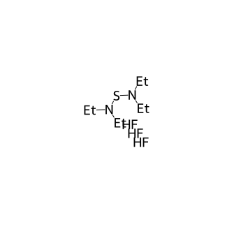 CCN(CC)SN(CC)CC.F.F.F